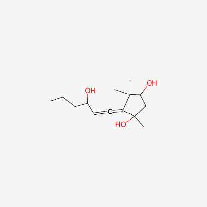 CCCC(O)C=C=C1C(C)(O)CC(O)C1(C)C